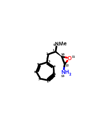 CNC(CC1=CC#CCC=C1)[C@H]1OC1N